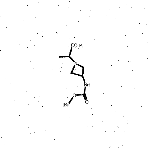 CC(C(=O)O)N1CC(NC(=O)OC(C)(C)C)C1